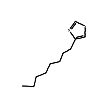 CCCCCCCCc1cscn1